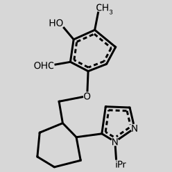 Cc1ccc(OCC2CCCCC2c2ccnn2C(C)C)c(C=O)c1O